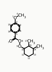 COc1ccc(C(=O)OO[C]2CCCC(C)C2C)cc1